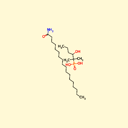 CCCC(O)C(C)(C)P(=O)(O)O.CCCCCCCCCCCCCCCCCC(N)=O